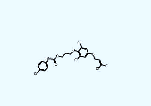 O=C(Nc1ccc(Cl)cc1)OCCCOc1c(Cl)cc(OCC=C(Cl)Cl)cc1Cl